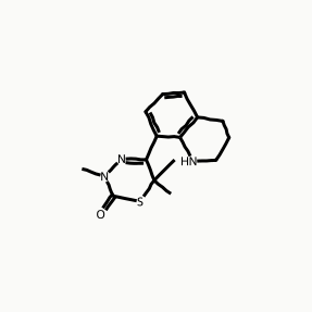 CN1N=C(c2cccc3c2NCCC3)C(C)(C)SC1=O